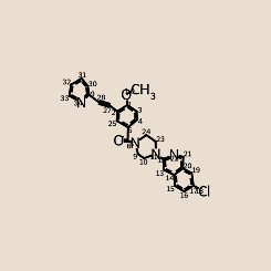 COc1ccc(C(=O)N2CCN(c3cc4ccc(Cl)cc4cn3)CC2)cc1C#Cc1ccccn1